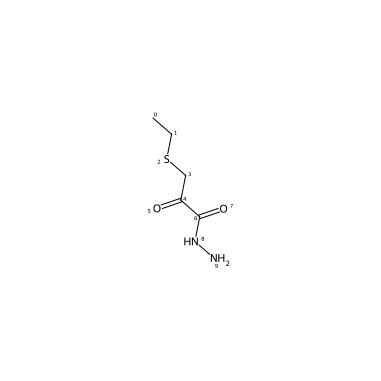 CCSCC(=O)C(=O)NN